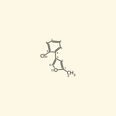 Cc1[c]c(-c2ccccc2Cl)co1